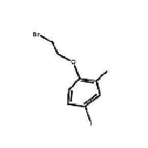 Cc1cc(I)ccc1OCCBr